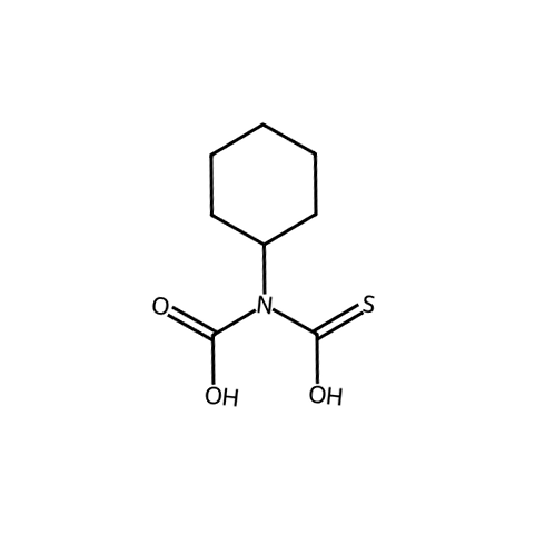 O=C(O)N(C(O)=S)C1CCCCC1